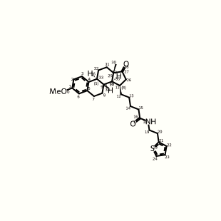 COc1ccc2c(c1)CC[C@H]1[C@@H]3[C@H](CCCCC(=O)NCCc4cccs4)CC(=O)[C@@]3(C)CC[C@H]21